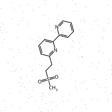 CS(=O)(=O)CCc1cccc(-c2ccccn2)n1